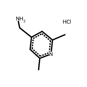 Cc1cc(CN)cc(C)n1.Cl